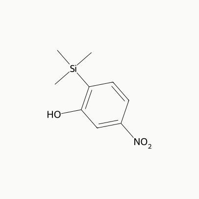 C[Si](C)(C)c1ccc([N+](=O)[O-])cc1O